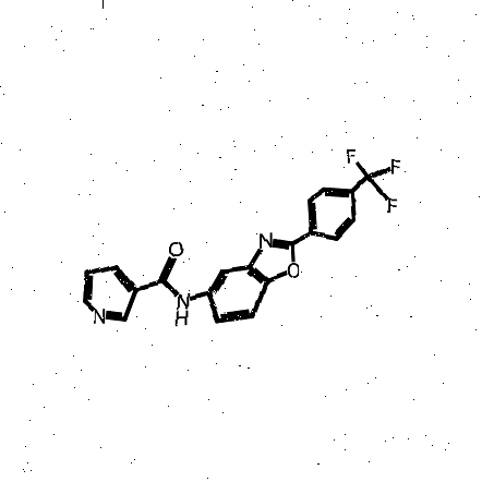 O=C(Nc1ccc2oc(-c3ccc(C(F)(F)F)cc3)nc2c1)c1cccnc1